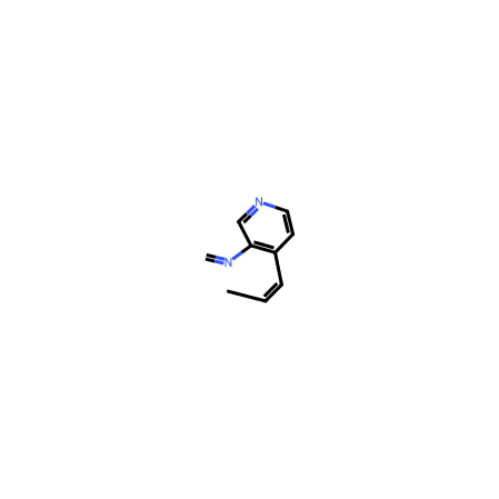 C=Nc1cnccc1/C=C\C